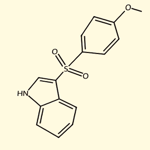 COc1ccc(S(=O)(=O)c2c[nH]c3ccccc23)cc1